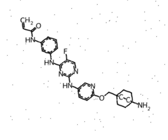 C=CC(=O)Nc1cccc(Nc2nc(Nc3ccc(OCC45CCC(N)(CC4)CC5)nc3)ncc2F)c1